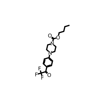 CCCCOC(=O)N1CCN(c2ccc(C(=O)C(F)(F)F)cc2)CC1